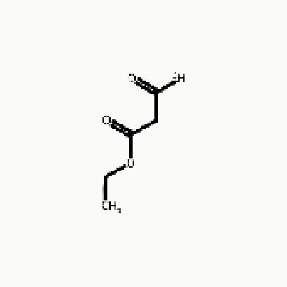 [2H]C(=O)CC(=O)OCC